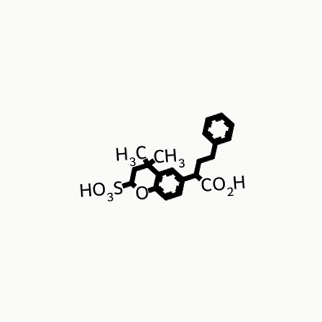 CC1(C)CC(S(=O)(=O)O)Oc2ccc(C(CCc3ccccc3)C(=O)O)cc21